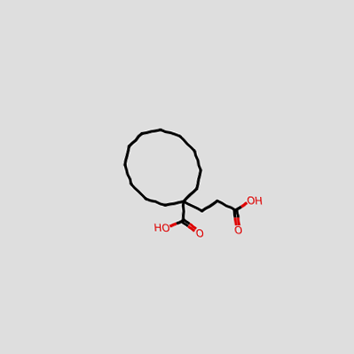 O=C(O)CCC1(C(=O)O)CCCCCCCCCCC1